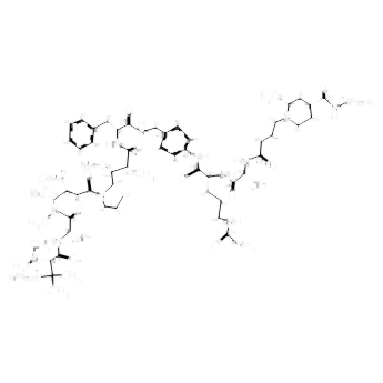 CCCCCC(C)(C)[C@@H](C(=O)N[C@H](C(=O)N(C)[C@@H]([C@@H](C)CC)[C@@H](CC(=O)N1CCC[C@H]1[C@H](OC)[C@@H](C)C(=O)N[C@@H](Cc1ccccc1)C(=O)NCc1ccc(NC(=O)[C@H](CCCNC(N)=O)NC(=O)[C@@H](NC(=O)CCCN2CC[C@H](C(=O)NC(C)CCC)C[C@@H]2C(F)(F)F)C(C)C)cc1)OC)C(C)C)N(C)C